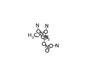 C/C=C\c1c(C)n(-c2cc(C#N)ccc2C2CC=C(c3cccc(-n4c5ccccc5c5cc(C#N)ccc54)c3)C=N2)c2cc(C#N)ccc12